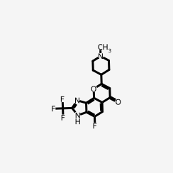 CN1CCC(c2cc(=O)c3cc(F)c4[nH]c(C(F)(F)F)nc4c3o2)CC1